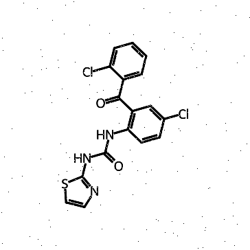 O=C(Nc1nccs1)Nc1ccc(Cl)cc1C(=O)c1ccccc1Cl